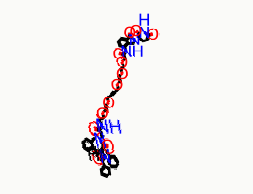 O=C(CN1Cc2ccccc2[C@@H]2OC(c3ccccc3)=N[C@]2(Cc2ccccc2)C1=O)NCCOCCOCC#CCOCCOCCOCC(=O)Nc1cccc2c1CN(C1CCC(=O)NC1=O)C2=O